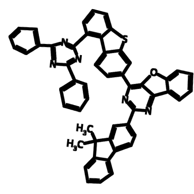 CC1(C)c2ccccc2-c2ccc(-c3nc(-c4ccc5c(c4)sc4cccc(-c6nc(-c7ccccc7)nc(-c7ccccc7)n6)c45)c4oc5ccccc5c4n3)cc21